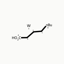 CCCCCCCC(=O)O.[W]